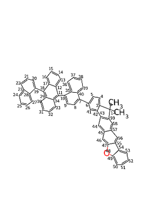 CC1(C)c2ccc(-c3ccc(-c4c5ccccc5c(-c5cccc6ccccc56)c5ccccc45)c4ccccc34)cc2-c2cc3cc4oc5ccccc5c4cc3cc21